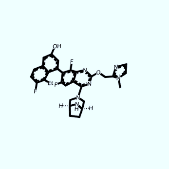 CCc1c(F)ccc2cc(O)cc(-c3c(F)cc4c(N5C[C@H]6CC[C@@H](C5)N6)nc(OCc5nccn5C)nc4c3F)c12